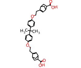 CC(C)(c1ccc(OCCC2=CC3CC2CC3C(=O)O)cc1)c1ccc(OCCC2=CC3CC2CC3C(=O)O)cc1